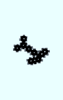 C1=CCCC(c2cc(-c3ccccc3)nc(-c3ccc(-c4ccc(-n5c6c(c7ccc8c(c75)SC5CC=CC=C5S8)C=C5C=CCCC5C6)cc4)cc3)n2)=C1